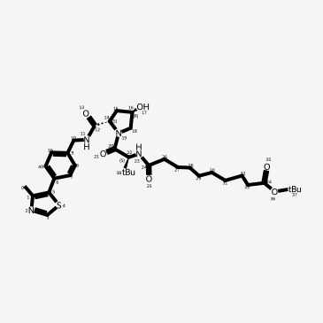 Cc1ncsc1-c1ccc(CNC(=O)[C@@H]2C[C@@H](O)CN2C(=O)[C@@H](NC(=O)CCCCCCCCC(=O)OC(C)(C)C)C(C)(C)C)cc1